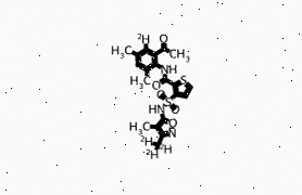 [2H]c1c(C)cc(C)c(NC(=O)c2sccc2S(=O)(=O)Nc2onc(C([2H])([2H])[2H])c2C)c1C(C)=O